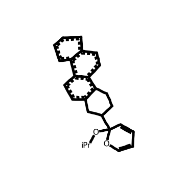 CC(C)OC1(C2CCc3c(ccc4c3ccc3ccccc34)C2)C=CC=CO1